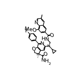 COc1cc(C(=O)NC[C@H](c2cc3c(c(-c4ccc(F)cc4)n2)OC[C@]3(C)C(N)=O)C2CC2)cc2cc(C)cnc12